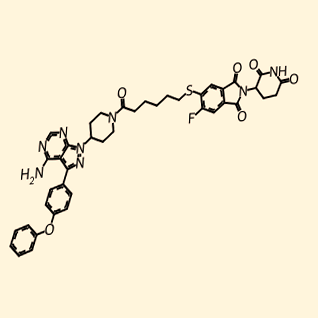 Nc1ncnc2c1c(-c1ccc(Oc3ccccc3)cc1)nn2C1CCN(C(=O)CCCCCSc2cc3c(cc2F)C(=O)N(C2CCC(=O)NC2=O)C3=O)CC1